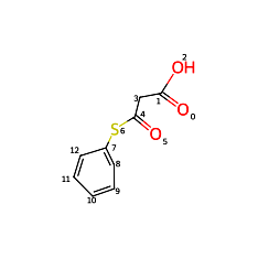 O=C(O)CC(=O)Sc1ccccc1